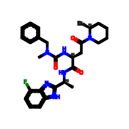 CC[C@H]1CCCCN1C(=O)C[C@H](NC(=O)N(C)Cc1ccccc1)C(=O)N[C@@H](C)c1nc2c(F)cccc2[nH]1